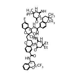 CCC1(CC)CC(=O)N([C@@H]2CC(CC3(C)Oc4ccc(F)cc4[C@@H](NC(=O)c4ccc5c(c4)[C@H](N4C(=N)N[C@](C)(C(C)C)CC4=O)CC(C)(C)O5)[C@@H]3O)Oc3ccc(C(=O)N[C@H]4C[C@H](C(F)(F)F)Oc5ccccc54)cc32)C(=N)N1